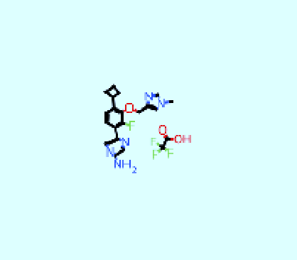 Cn1cnc(COc2c(C3CCC3)ccc(-c3cnc(N)cn3)c2F)c1.O=C(O)C(F)(F)F